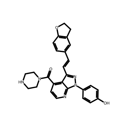 O=C(c1ccnc2c1c(C=Cc1ccc3c(c1)CCO3)nn2-c1ccc(O)cc1)N1CCNCC1